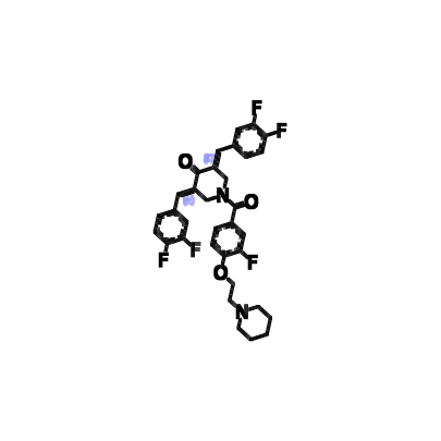 O=C1/C(=C/c2ccc(F)c(F)c2)CN(C(=O)c2ccc(OCCN3CCCCC3)c(F)c2)C/C1=C\c1ccc(F)c(F)c1